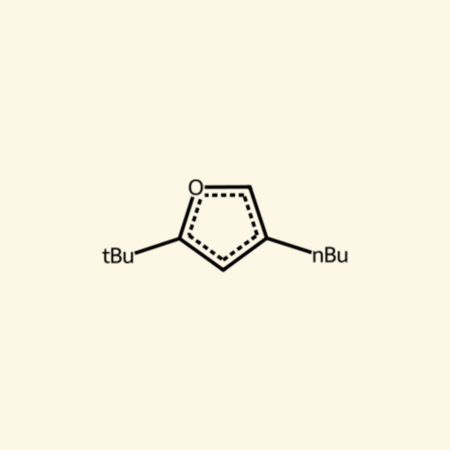 CCCCc1coc(C(C)(C)C)c1